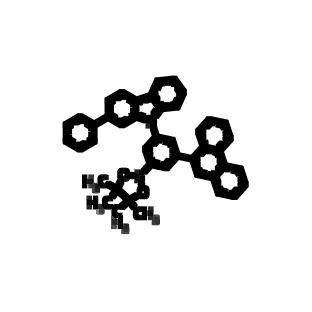 CC1(C)OB(c2cc(-c3cc4ccccc4c4ccccc34)cc(-n3c4ccccc4c4ccc(-c5ccccc5)cc43)c2)OC1(C)C